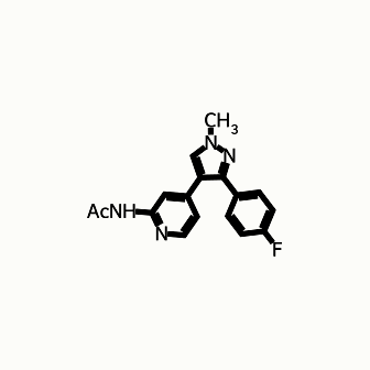 CC(=O)Nc1cc(-c2cn(C)nc2-c2ccc(F)cc2)ccn1